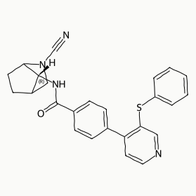 N#CN1CC2CCC1[C@@H]2NC(=O)c1ccc(-c2ccncc2Sc2ccccc2)cc1